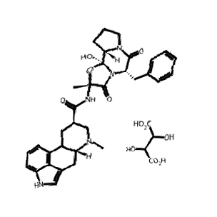 CN1C[C@H](C(=O)N[C@]2(C)O[C@@]3(O)[C@@H]4CCCN4C(=O)[C@H](Cc4ccccc4)N3C2=O)CC2c3cccc4[nH]cc(c34)C[C@H]21.O=C(O)C(O)C(O)C(=O)O